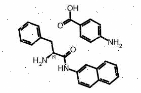 N[C@@H](Cc1ccccc1)C(=O)Nc1ccc2ccccc2c1.Nc1ccc(C(=O)O)cc1